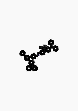 CCC1(CC)c2cc(/C=C/c3ccc(-c4cc(-c5ccccc5)ccc4-c4ccc5c(c4)C4(CCCCC4)c4ccccc4-5)cc3)ccc2-c2ccc(N(c3ccccc3)c3ccccc3)cc21